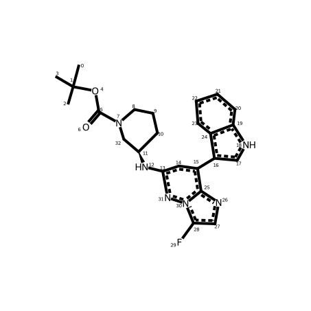 CC(C)(C)OC(=O)N1CCC[C@@H](Nc2cc(-c3c[nH]c4ccccc34)c3ncc(F)n3n2)C1